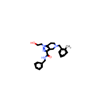 Cc1ccccc1CN1CCc2c(c(C(=O)NCc3ccccc3)nn2CCO)C1